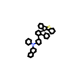 c1ccc(N(c2cccc(-c3cccc4c3-c3ccccc3[C@@]43c4ccccc4-c4sc5ccccc5c43)c2)c2ccc3ccccc3c2)cc1